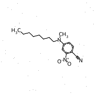 CCCCCCCCN(C)c1ccc(C#N)c([N+](=O)[O-])c1